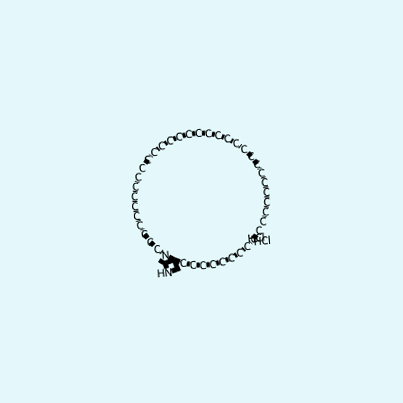 CN1CCCCCCCCCCCCCCCCCCCCCCCCCCCCCCCCCCCCCCCCC12CNC2.Cl.Cl